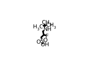 CC(C)(C)NCC(F)CS(=O)(=O)O